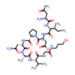 CC[C@H](C)[C@H](NC(=O)[C@@H](N)CC(N)=O)C(=O)N[C@@H](CC(=O)O)C(=O)N1CCC[C@H]1C(=O)N[C@@H](CC(N)=O)C(=O)N[C@@H](C)C(=O)N[C@H](C(=O)NCC(=O)NCCCO)C(C)C